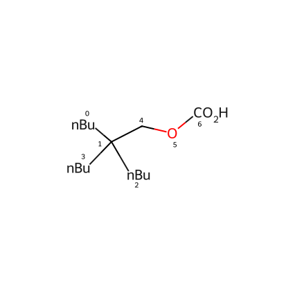 CCCCC(CCCC)(CCCC)COC(=O)O